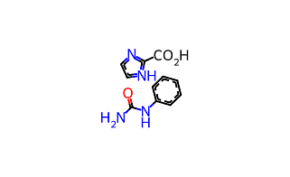 NC(=O)Nc1ccccc1.O=C(O)c1ncc[nH]1